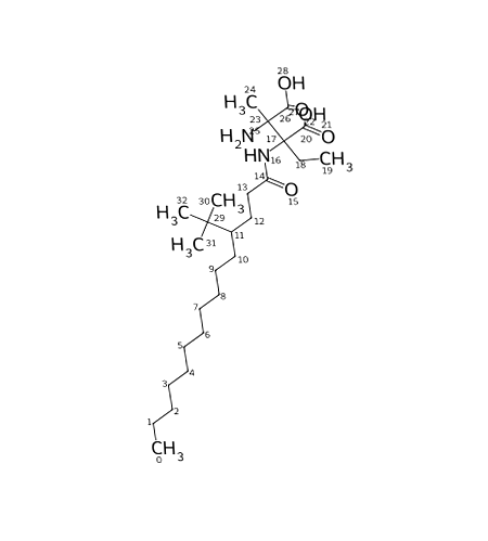 CCCCCCCCCCCC(CCC(=O)NC(CC)(C(=O)O)C(C)(N)C(=O)O)C(C)(C)C